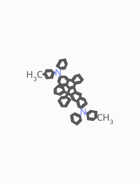 Cc1ccc(N(c2ccccc2)c2ccc3cc4c(cc3c2)C(c2ccccc2)(c2ccccc2)c2c-4c3ccccc3c3cc(N(c4ccccc4)c4ccc(C)cc4)ccc23)cc1